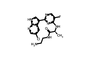 C[C@H](Nc1nc(-c2c[nH]c3ncc(Cl)cc23)ncc1F)C(=O)NCCN